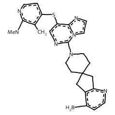 Bc1ccnc2c1CC1(CCN(c3ncc(Sc4ccnc(NC)c4C)c4nccn34)CC1)C2